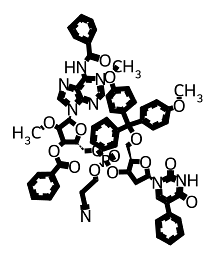 COc1ccc(C(OC[C@H]2O[C@@H](n3cc(-c4ccccc4)c(=O)[nH]c3=O)CC2OP(=O)(OCCC#N)OC[C@H]2O[C@@H](n3cnc4c(NC(=O)c5ccccc5)ncnc43)C(OC)C2OC(=O)c2ccccc2)(c2ccccc2)c2ccc(OC)cc2)cc1